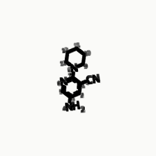 N#Cc1cc(N)cnc1N1CCCCC1